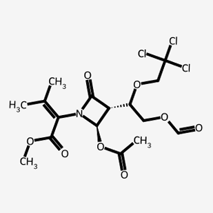 COC(=O)C(=C(C)C)N1C(=O)[C@H](C(COC=O)OCC(Cl)(Cl)Cl)[C@H]1OC(C)=O